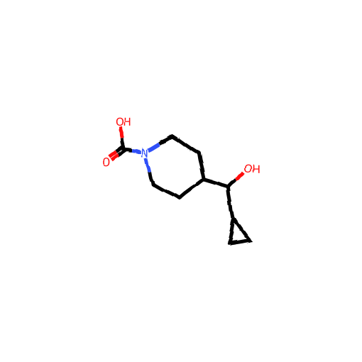 O=C(O)N1CCC(C(O)C2CC2)CC1